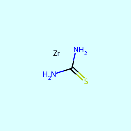 NC(N)=S.[Zr]